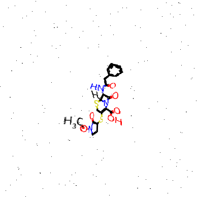 CON1CCC(SC2=C(C(=O)O)N3C(=O)[C@@H](NC(=O)Cc4ccccc4)[C@H]3SC2)C1=O